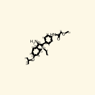 CCn1c(-c2ccc(NC(=O)COC)cc2)c(N)c2ccc(OC(C)C)cc21